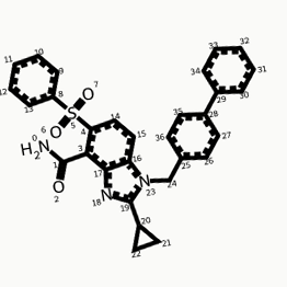 NC(=O)c1c(S(=O)(=O)c2ccccc2)ccc2c1nc(C1CC1)n2Cc1ccc(-c2ccccc2)cc1